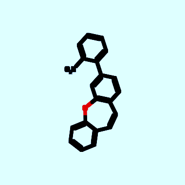 O=[N+]([O-])c1ccccc1-c1ccc2c(c1)Oc1ccccc1C=C2